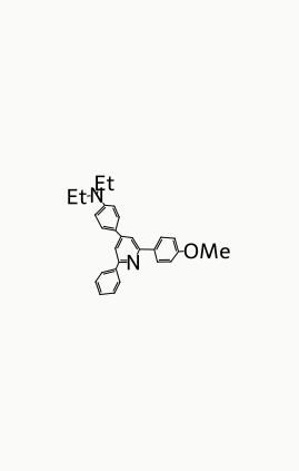 CCN(CC)c1ccc(-c2cc(-c3ccccc3)nc(-c3ccc(OC)cc3)c2)cc1